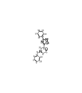 c1ccc(CN2CCOC(c3nc(-c4ccccc4)no3)C2)cc1